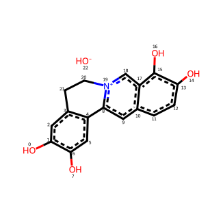 Oc1cc2c(cc1O)-c1cc3ccc(O)c(O)c3c[n+]1CC2.[OH-]